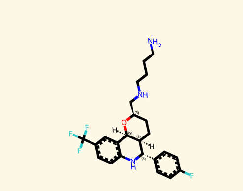 NCCCCNC[C@H]1CC[C@@H]2[C@H](O1)c1cc(C(F)(F)F)ccc1N[C@H]2c1ccc(F)cc1